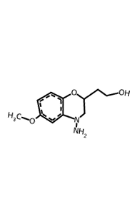 COc1ccc2c(c1)N(N)CC(CCO)O2